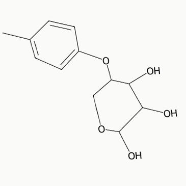 Cc1ccc(OC2COC(O)C(O)C2O)cc1